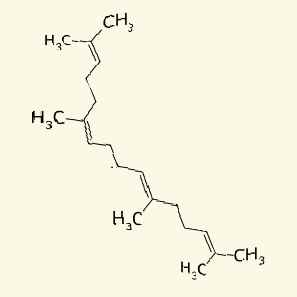 CC(C)=CCCC(C)=CC[CH]/C=C(\C)CCC=C(C)C